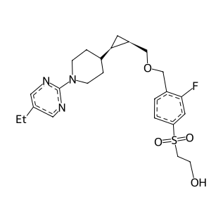 CCc1cnc(N2CCC([C@H]3C[C@H]3COCc3ccc(S(=O)(=O)CCO)cc3F)CC2)nc1